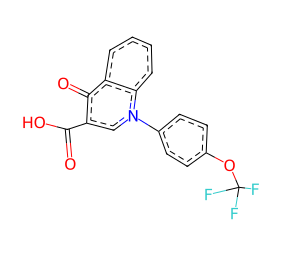 O=C(O)c1cn(-c2ccc(OC(F)(F)F)cc2)c2ccccc2c1=O